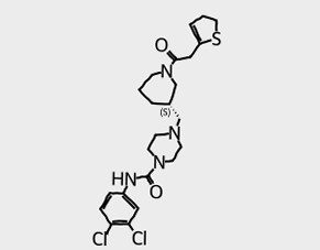 O=C(CC1=CCCS1)N1CCC[C@@H](CN2CCN(C(=O)Nc3ccc(Cl)c(Cl)c3)CC2)C1